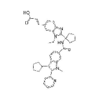 CCn1c(C2(NC(=O)c3ccc4c(C5CCCC5)c(-c5ccccn5)n(C)c4c3)CCCC2)nc2ccc(/C=C/C(=O)O)cc21